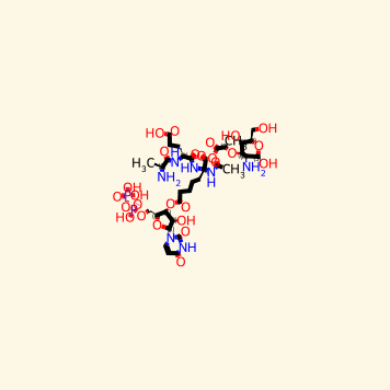 CC(=O)N[C@](CCCCC(=O)O[C@H]1[C@@H](O)[C@H](n2ccc(=O)[nH]c2=O)O[C@@H]1COP(=O)(O)OP(=O)(O)O)(NC(=O)[C@@H](CCC(=O)O)NC(=O)[C@H](C)N)C(=O)OC(=O)[C@H](C)O[C@@H]1[C@@H](N)[C@@H](O)O[C@H](CO)[C@H]1O